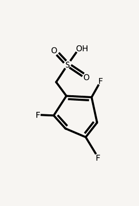 O=S(=O)(O)Cc1c(F)cc(F)cc1F